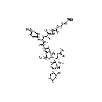 CCCC(=O)OCN(C(=O)[C@@H](NC(=O)[C@H]1CCCCN1C)C(C)CC)[C@H](C[C@@H](OC(C)=O)c1nc(C(=O)N[C@@H](Cc2ccc(O)cc2)C[C@H](C)C(=O)NNC(=O)OCCSSCC)cs1)C(C)C